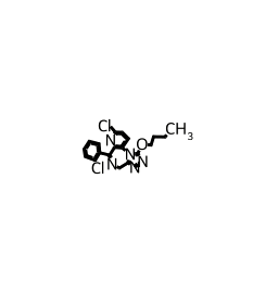 CCCCOc1nnc2n1-c1ccc(Cl)nc1C(c1ccccc1Cl)=NC2